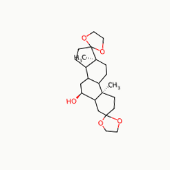 C[C@]12CCC3(CC1[C@@H](O)CC1C2CC[C@@]2(C)C1CCC21OCCO1)OCCO3